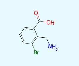 NCc1c(Br)cccc1C(=O)O